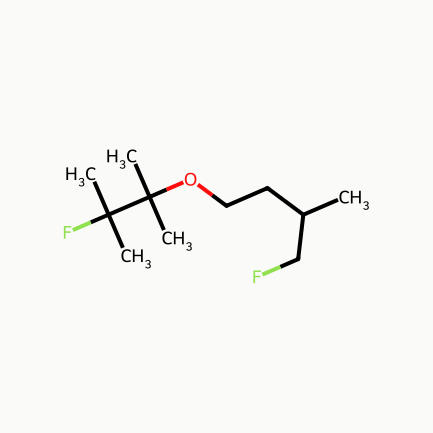 CC(CF)CCOC(C)(C)C(C)(C)F